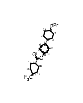 CCC[C@H]1CC[C@H](c2ccc(OC(=O)[C@H]3CC[C@H](C(F)(F)F)CC3)cc2)CC1